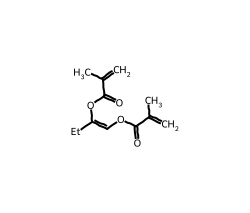 C=C(C)C(=O)OC=C(CC)OC(=O)C(=C)C